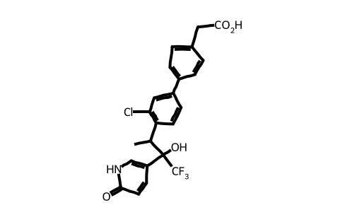 CC(c1ccc(-c2ccc(CC(=O)O)cc2)cc1Cl)C(O)(c1ccc(=O)[nH]c1)C(F)(F)F